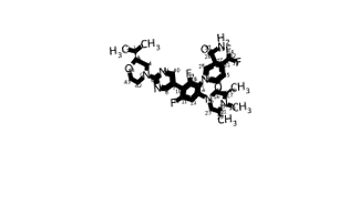 CC(C)[C@@H]1CN(c2ncc(-c3c(F)cc(N4C[C@@H](C)N(C)[C@@H](C)C4)c(-n4cc(C(N)=O)c(C(F)F)cc4=O)c3F)cn2)CCO1